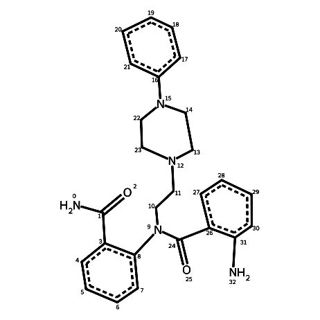 NC(=O)c1ccccc1N(CCN1CCN(c2ccccc2)CC1)C(=O)c1ccccc1N